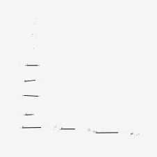 O=C([O-])[O-].O=C([O-])[O-].O=C([O-])[O-].O=C([O-])[O-].O=C([O-])[O-].O=C([O-])[O-].O=C([O-])[O-].[Al+3].[Al+3].[Zr+4].[Zr+4]